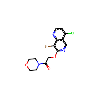 O=C(COc1ncc2c(Cl)ccnc2c1Br)N1CCOCC1